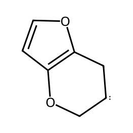 [C]1COc2ccoc2C1